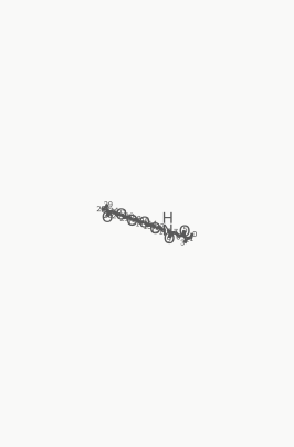 CCC(C)C(=O)CCC(=O)NCCOCCOCCOCCOCCC(=O)C(C)C